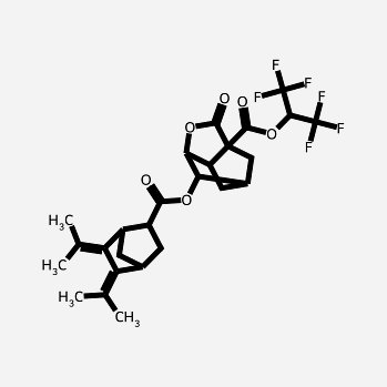 CC(C)=C1C(=C(C)C)C2CC1CC2C(=O)OC1C2CC3C1OC(=O)C3(C(=O)OC(C(F)(F)F)C(F)(F)F)C2